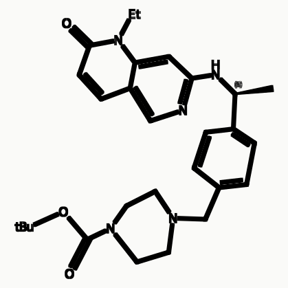 CCn1c(=O)ccc2cnc(N[C@@H](C)c3ccc(CN4CCN(C(=O)OC(C)(C)C)CC4)cc3)cc21